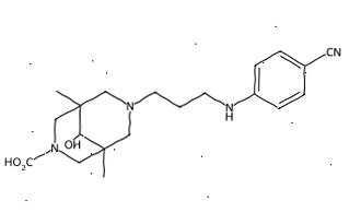 CC12CN(CCCNc3ccc(C#N)cc3)CC(C)(CN(C(=O)O)C1)C2O